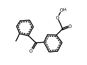 Cc1ccccc1C(=O)c1cccc(C(=O)OO)c1